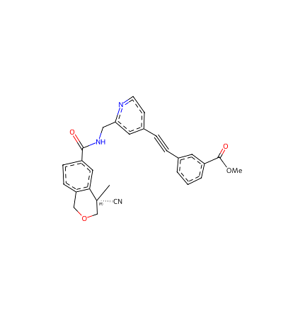 COC(=O)c1cccc(C#Cc2ccnc(CNC(=O)c3ccc4c(c3)[C@](C)(C#N)COC4)c2)c1